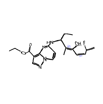 C=C(F)/C=C\C(O)=C(/C)C(CC)Nc1ccn2ncc(C(=O)OCC)c2n1